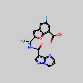 C[C@H](NC(=O)c1cnn2cccnc12)c1cc2cc(F)cc(C(=O)O)c2o1